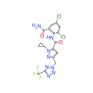 NC(=O)c1cc(Cl)cc(Cl)c1NC(=O)c1cc(Cn2nnc(C(F)(F)F)n2)nn1C1CC1